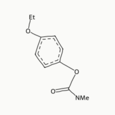 CCOc1ccc(OC(=O)NC)cc1